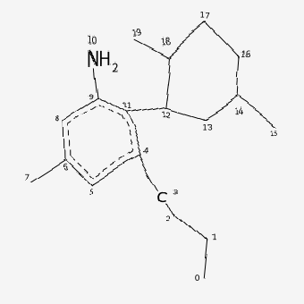 CCCCc1cc(C)cc(N)c1C1CC(C)CCC1C